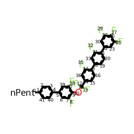 CCCCCc1ccc(-c2cc(F)c(OC(F)(F)c3ccc(-c4ccc(-c5cc(F)c(F)c(F)c5)c(F)c4)c(F)c3)c(F)c2)cc1